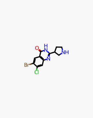 O=c1[nH]c(C2CCNC2)nc2cc(Cl)c(Br)cc12